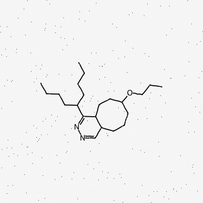 CCCCC(CCCC)C1=NN=CC2CCCC(OCCC)CCC12